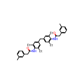 CCc1cc(Cc2cc(CC)c(NC(=O)Cc3cccc(C)c3)c(CC)c2)cc(CC)c1NC(=O)Cc1cccc(C)c1